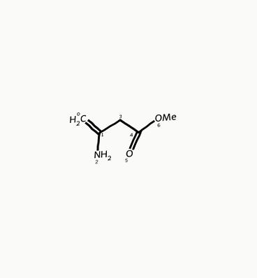 C=C(N)CC(=O)OC